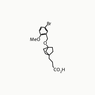 COc1ccc(Br)cc1COC12CCC(CCCC(=O)O)(CC1)C2